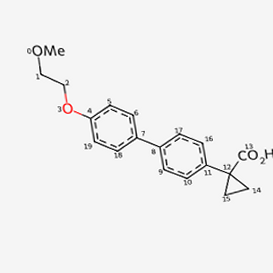 COCCOc1ccc(-c2ccc(C3(C(=O)O)CC3)cc2)cc1